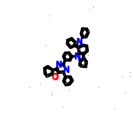 c1ccc(-c2nc(-c3cccc(-n4c5ccccc5c5ccc6c(c7ccccc7n6-c6ccccc6)c54)c3)nc3c2oc2ccccc23)cc1